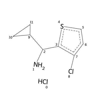 Cl.NC(c1sccc1Cl)C1CC1